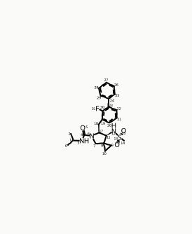 CC(C)NC(=O)N1CC2(CC2)[C@H](NS(C)(=O)=O)[C@@H]1Cc1cccc(-c2ccccc2)c1F